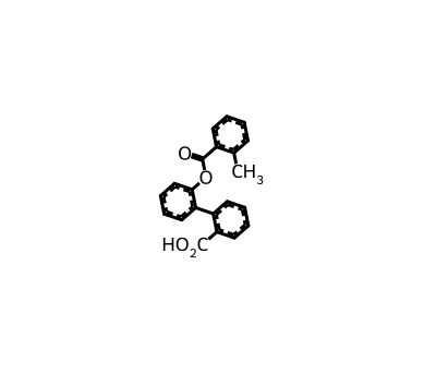 Cc1ccccc1C(=O)Oc1ccccc1-c1ccccc1C(=O)O